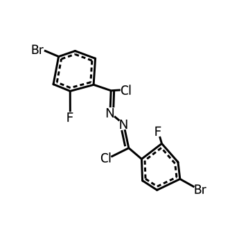 Fc1cc(Br)ccc1C(Cl)=NN=C(Cl)c1ccc(Br)cc1F